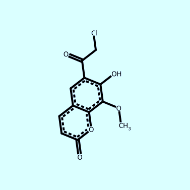 COc1c(O)c(C(=O)CCl)cc2ccc(=O)oc12